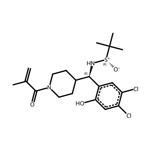 C=C(C)C(=O)N1CCC([C@@H](N[S@@+]([O-])C(C)(C)C)c2cc(Cl)c(Cl)cc2O)CC1